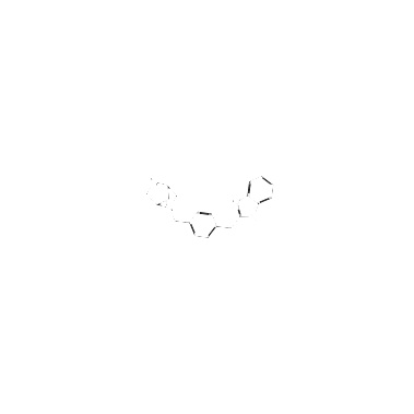 c1ccc2sc(Cc3ccc(CN4CC5CC4CN5)cc3)nc2c1